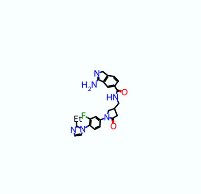 CCc1nccn1-c1ccc(N2CC(CNC(=O)c3ccc4c(c3)C(N)=NC4)CC2=O)cc1F